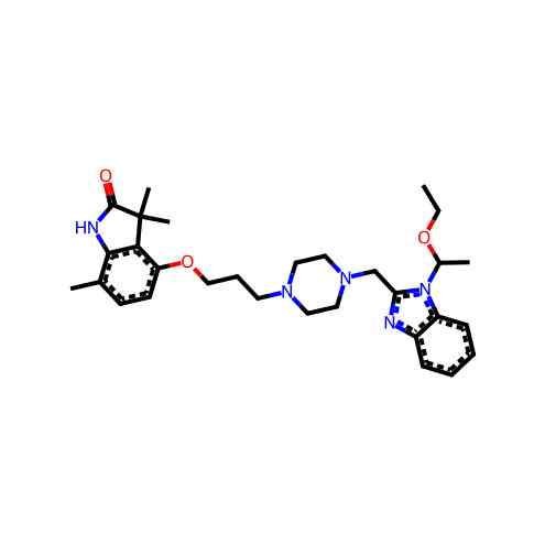 CCOC(C)n1c(CN2CCN(CCCOc3ccc(C)c4c3C(C)(C)C(=O)N4)CC2)nc2ccccc21